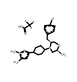 Cc1cc(C2CCC(N3C[C@H](C)OC[C@@H]3Cc3ccc(Cl)cc3)CC2)nn1C.O=C(O)C(F)(F)F